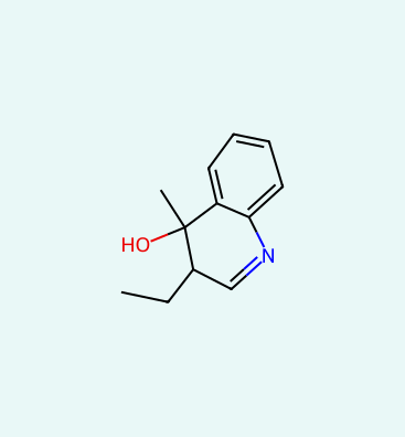 CCC1C=Nc2ccccc2C1(C)O